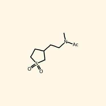 CC(=O)N(C)CCC1CCS(=O)(=O)C1